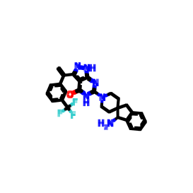 C=C(c1cccc(C(F)(F)F)c1)c1n[nH]c2nc(N3CCC4(CC3)Cc3ccccc3[C@H]4N)[nH]c(=O)c12